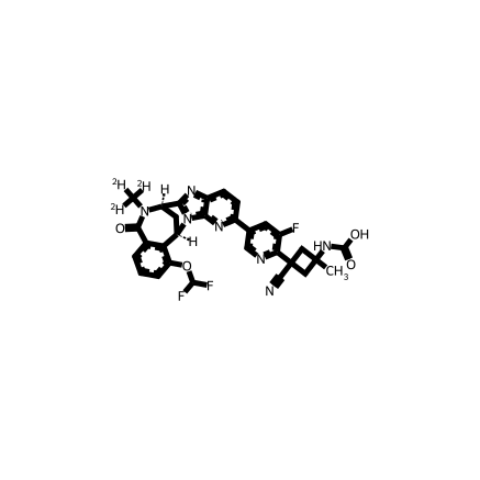 [2H]C([2H])([2H])N1C(=O)c2cccc(OC(F)F)c2[C@H]2C[C@@H]1c1nc3ccc(-c4cnc(C5(C#N)CC(C)(NC(=O)O)C5)c(F)c4)nc3n12